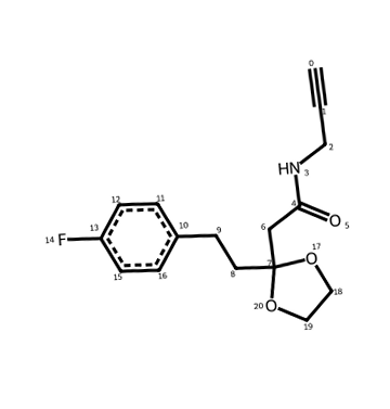 C#CCNC(=O)CC1(CCc2ccc(F)cc2)OCCO1